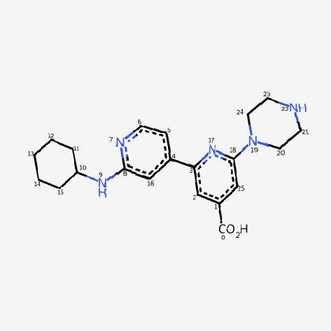 O=C(O)c1cc(-c2ccnc(NC3CCCCC3)c2)nc(N2CCNCC2)c1